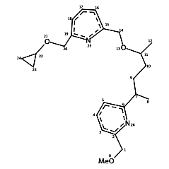 COCc1cccc(C(C)CCC(C)OCc2cccc(COC3CC3)n2)n1